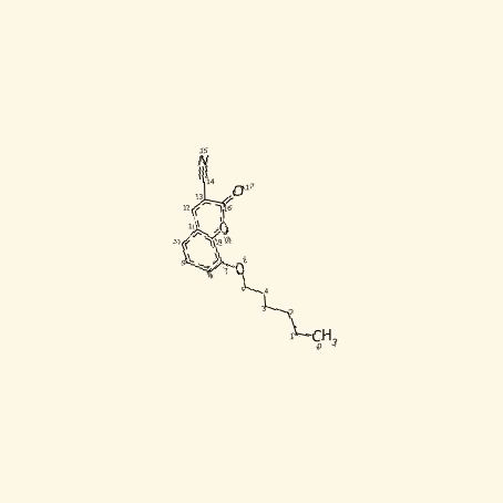 CCCCCCOc1cccc2cc(C#N)c(=O)oc12